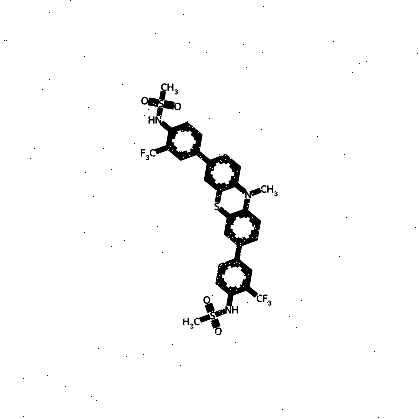 CN1c2ccc(-c3ccc(NS(C)(=O)=O)c(C(F)(F)F)c3)cc2Sc2cc(-c3ccc(NS(C)(=O)=O)c(C(F)(F)F)c3)ccc21